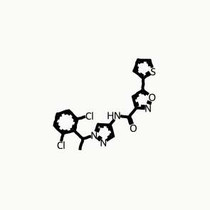 CC(c1c(Cl)cccc1Cl)n1cc(NC(=O)c2cc(-c3cccs3)on2)cn1